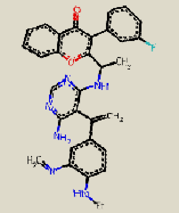 C=Nc1cc(C(=C)c2c(N)ncnc2NC(C)c2oc3ccccc3c(=O)c2-c2cccc(F)c2)ccc1NCC